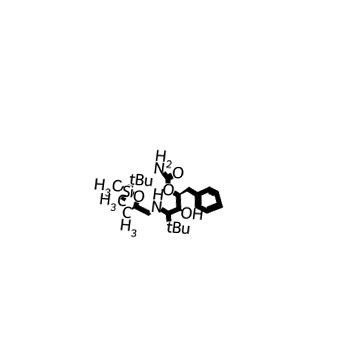 C[C@@H](CNC([C@@H](O)[C@H](Cc1ccccc1)OC(N)=O)C(C)(C)C)O[Si](C)(C)C(C)(C)C